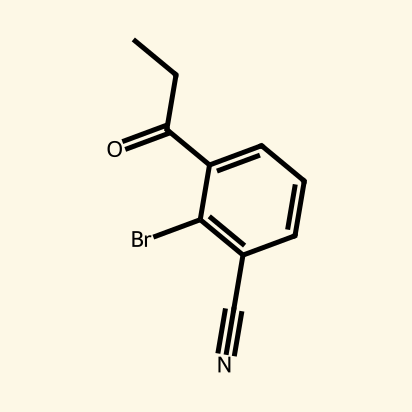 CCC(=O)c1cccc(C#N)c1Br